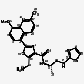 COc1ccc(-c2nc(C(=O)N[C@@H](C)CNc3nccs3)c(CN)o2)c2ccc(C(F)(F)F)nc12